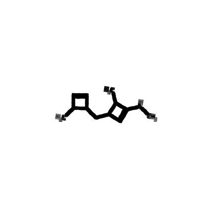 CNC1=CC(CC2C=CC2C)C1C